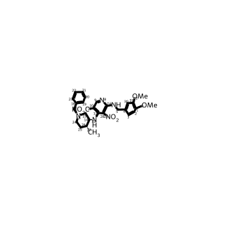 COc1ccc(CNc2ncc(C(=O)O)c(N[C@H]3CN(Cc4ccccc4)CC[C@H]3C)c2[N+](=O)[O-])cc1OC